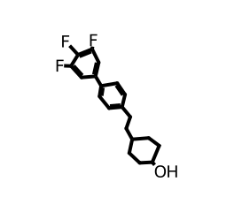 OC1CCC(CCc2ccc(-c3cc(F)c(F)c(F)c3)cc2)CC1